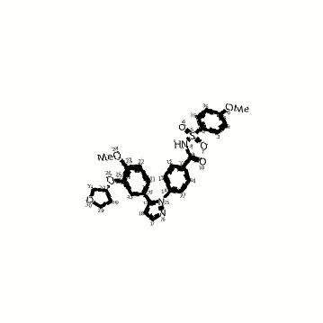 COc1ccc(S(=O)(=O)NC(=O)c2ccc(-n3nccc3-c3ccc(OC)c(O[C@@H]4CCOC4)c3)cc2)cc1